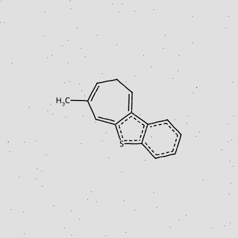 CC1=CCC=c2c(sc3ccccc23)=C1